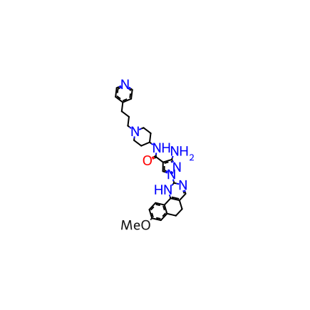 COc1ccc2c(c1)CCC1=C2NC(n2cc(C(=O)NC3CCN(CCCc4ccncc4)CC3)c(N)n2)N=C1